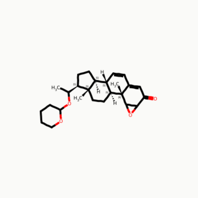 CC(OC1CCCCO1)[C@H]1CC[C@H]2[C@@H]3C=CC4=CC(=O)C5OC5[C@]4(C)[C@H]3CC[C@]12C